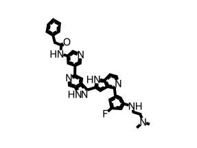 CN(C)CCNc1cc(F)cc(-c2nccc3[nH]c(-c4n[nH]c5cnc(-c6cncc(NC(=O)Cc7ccccc7)c6)cc45)cc23)c1